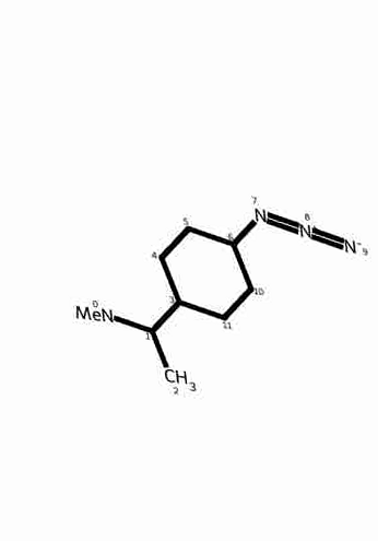 CNC(C)C1CCC(N=[N+]=[N-])CC1